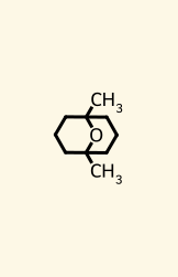 CC12CCCC(C)(CCC1)O2